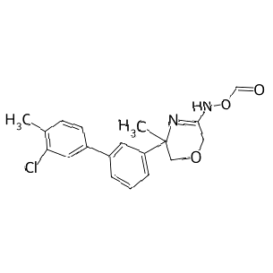 Cc1ccc(-c2cccc(C3(C)COCC(NOC=O)=N3)c2)cc1Cl